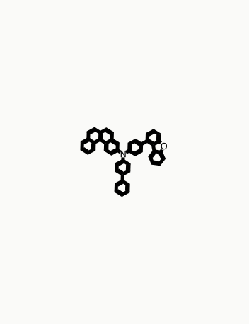 c1ccc(-c2ccc(N(c3ccc(-c4cccc5oc6ccccc6c45)cc3)c3ccc4c(ccc5ccc6ccccc6c54)c3)cc2)cc1